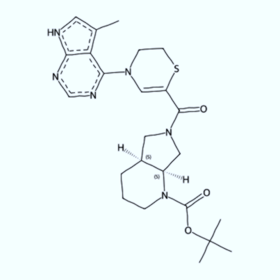 Cc1c[nH]c2ncnc(N3C=C(C(=O)N4C[C@@H]5CCCN(C(=O)OC(C)(C)C)[C@@H]5C4)SCC3)c12